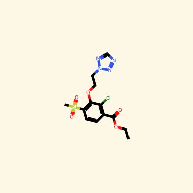 CCOC(=O)c1ccc(S(C)(=O)=O)c(OCCn2ncnn2)c1Cl